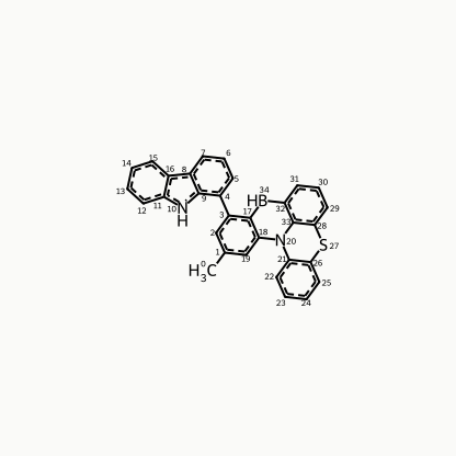 Cc1cc(-c2cccc3c2[nH]c2ccccc23)c2c(c1)N1c3ccccc3Sc3cccc(c31)B2